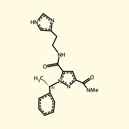 CNC(=O)c1cc(C(=O)NCCc2c[nH]cn2)n([C@@H](C)c2ccccc2)n1